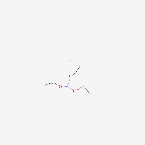 CCON(OCC)OCC.[Ti]